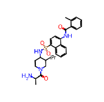 Cc1ccccc1C(=O)Nc1ccc(S(=O)(=O)NC2CCN(C(=O)C(C)N)CC2C(C)C)c2ccccc12